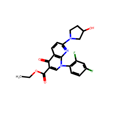 CCOC(=O)c1cn(-c2ccc(F)cc2F)c2nc(N3CCC(O)C3)ccc2c1=O